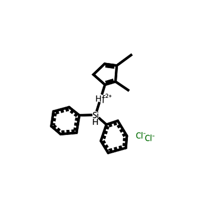 CC1=CC[C]([Hf+2][SiH](c2ccccc2)c2ccccc2)=C1C.[Cl-].[Cl-]